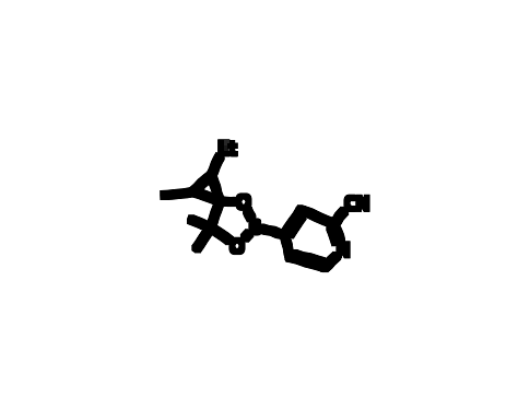 CCC1C(C)C12OB(c1ccnc(C#N)c1)OC2(C)C